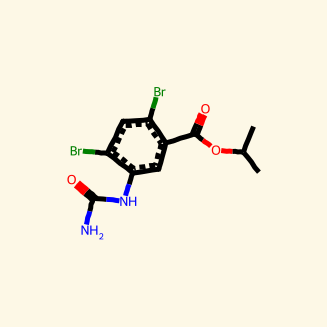 CC(C)OC(=O)c1cc(NC(N)=O)c(Br)cc1Br